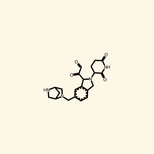 O=CC(=O)C1c2cc(CN3CC4CC3CN4)ccc2CN1C1CCC(=O)NC1=O